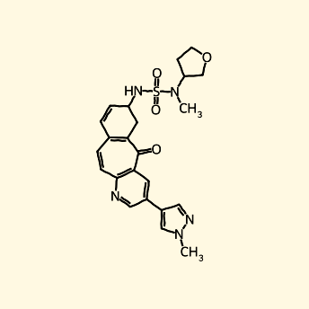 CN(C1CCOC1)S(=O)(=O)NC1C=Cc2ccc3ncc(-c4cnn(C)c4)cc3c(=O)c2C1